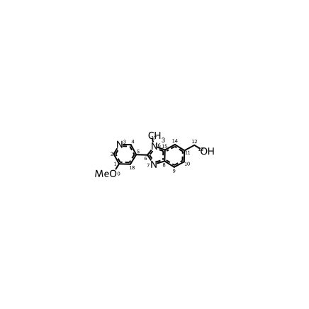 COc1cncc(-c2nc3ccc(CO)cc3n2C)c1